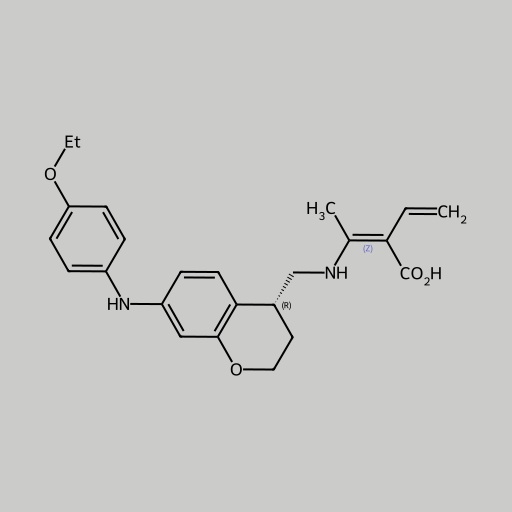 C=C/C(C(=O)O)=C(\C)NC[C@@H]1CCOc2cc(Nc3ccc(OCC)cc3)ccc21